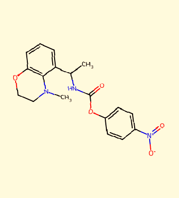 CC(NC(=O)Oc1ccc([N+](=O)[O-])cc1)c1cccc2c1N(C)CCO2